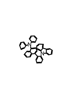 c1ccc(N(c2ccccc2)c2ccc(-c3ccccc3-n3c4ccccc4c4ccccc43)c3ccccc23)cc1